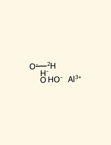 [2H][O-].[Al+3].[OH-].[OH-]